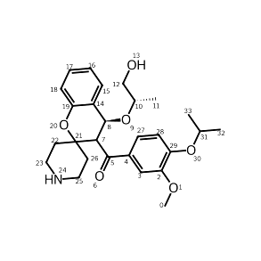 COc1cc(C(=O)C2[C@H](O[C@@H](C)CO)c3ccccc3OC23CCNCC3)ccc1OC(C)C